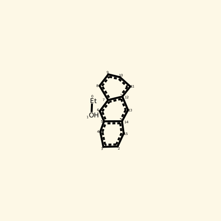 CCO.c1ccc2cc3ccccc3cc2c1